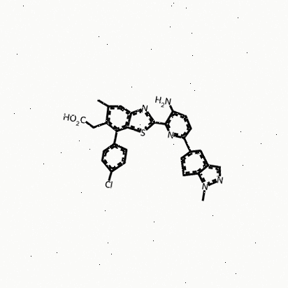 Cc1cc2nc(-c3nc(-c4ccc5c(cnn5C)c4)ccc3N)sc2c(-c2ccc(Cl)cc2)c1CC(=O)O